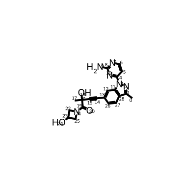 Cc1nn(-c2ccnc(N)n2)c2cc(C#CC(C)(O)C(=O)N3CC(O)C3)ccc12